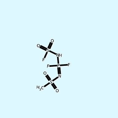 CS(=O)(=O)N=P(F)(F)NS(=O)(=O)F